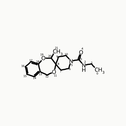 CCNC(=O)N1CCC2(CC1)OCc1ccccc1OC2C